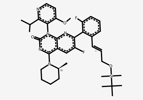 COc1ccnc(C(C)C)c1-n1c(=O)nc(N2CCCC[C@@H]2C)c2cc(F)c(-c3c(F)cccc3/C=C/CO[Si](C)(C)C(C)(C)C)nc21